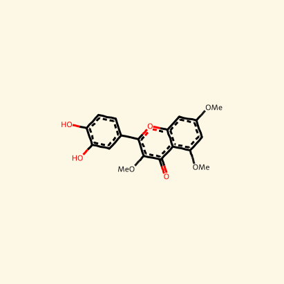 COc1cc(OC)c2c(=O)c(OC)c(-c3ccc(O)c(O)c3)oc2c1